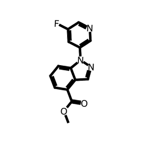 COC(=O)c1cccc2c1cnn2-c1cncc(F)c1